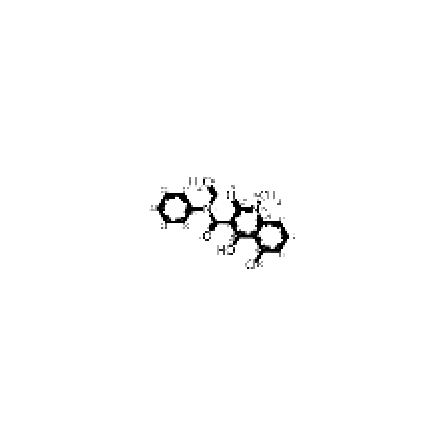 C=CN(C(=O)c1c(O)c2c(Cl)cccc2n(C)c1=O)c1ccccc1